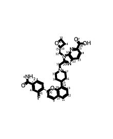 NC(=O)c1ccc([C@H]2C=Cc3cccc(C4CCN(Cc5nc6ccc(C(=O)O)nc6n5C[C@@H]5CCO5)CC4)c3O2)c(F)c1